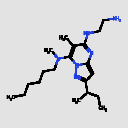 CCCCCCN(C)c1c(C)c(NCCN)nc2cc(C(C)CC)nn12